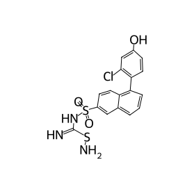 N=C(NS(=O)(=O)c1ccc2c(-c3ccc(O)cc3Cl)cccc2c1)SN